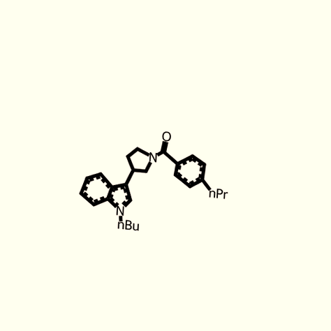 CCCCn1cc(C2CCN(C(=O)c3ccc(CCC)cc3)C2)c2ccccc21